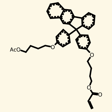 C=CC(=O)OCCCCOc1ccc(C2(c3ccc(OCCCCOC(C)=O)cc3)c3ccccc3-c3cc4ccccc4cc32)cc1